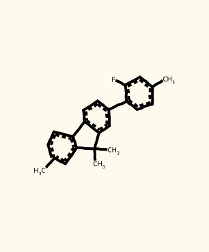 Cc1ccc(-c2ccc3c(c2)C(C)(C)c2cc(C)ccc2-3)c(F)c1